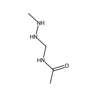 CNNCNC(C)=O